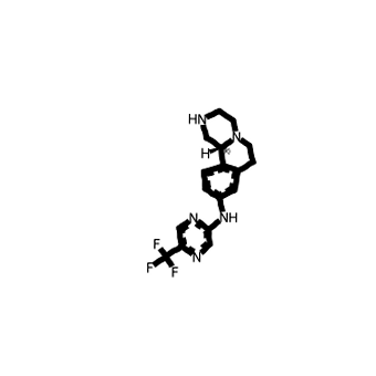 FC(F)(F)c1cnc(Nc2ccc3c(c2)CCN2CCNC[C@@H]32)cn1